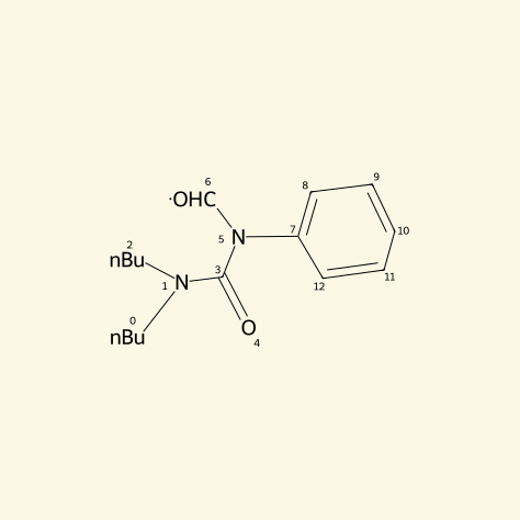 CCCCN(CCCC)C(=O)N([C]=O)c1ccccc1